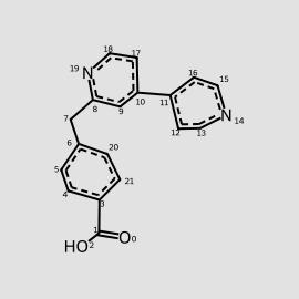 O=C(O)c1ccc(Cc2cc(-c3ccncc3)ccn2)cc1